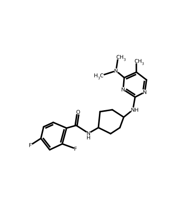 Cc1cnc(NC2CCC(NC(=O)c3ccc(F)cc3F)CC2)nc1N(C)C